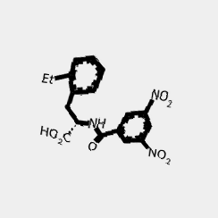 CCc1ccccc1C[C@H](NC(=O)c1cc([N+](=O)[O-])cc([N+](=O)[O-])c1)C(=O)O